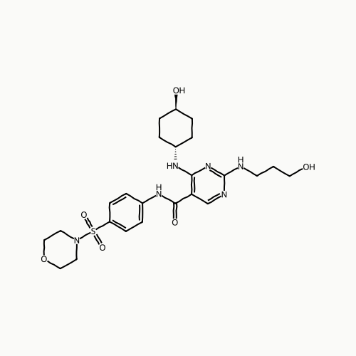 O=C(Nc1ccc(S(=O)(=O)N2CCOCC2)cc1)c1cnc(NCCCO)nc1N[C@H]1CC[C@H](O)CC1